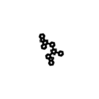 c1ccc(-c2nc(-c3cccc(-c4nc5c6ccccc6sc5c5ccccc45)c3)nc(-c3cccc4c3oc3ccccc34)n2)cc1